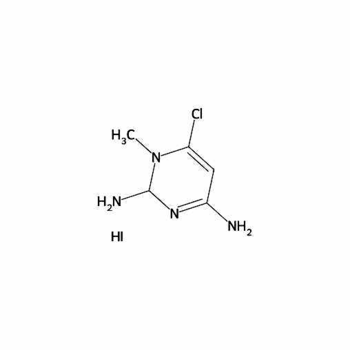 CN1C(Cl)=CC(N)=NC1N.I